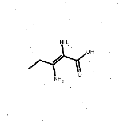 CCC(N)=C(N)C(=O)O